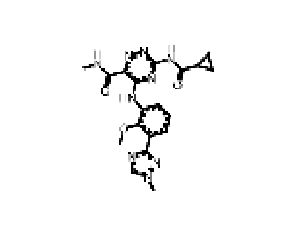 CNC(=O)c1nnc(NC(=O)C2CC2)nc1Nc1cccc(-c2ncn(C)n2)c1OC